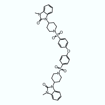 Cn1c(=O)n(C2CCN(S(=O)(=O)c3ccc(Oc4ccc(S(=O)(=O)N5CCC(n6c(=O)n(C)c7ccccc76)CC5)cc4)cc3)CC2)c2ccccc21